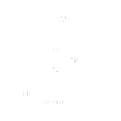 CCCCCC1(O)CCN(C(=O)Nc2cccc(SC)c2)CC1